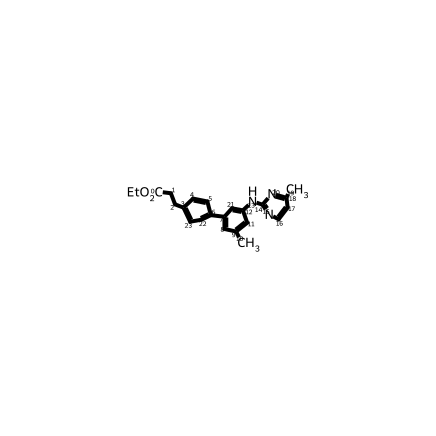 CCOC(=O)CCc1ccc(-c2cc(C)cc(Nc3nccc(C)n3)c2)cc1